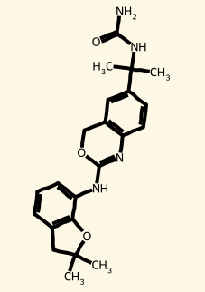 CC1(C)Cc2cccc(NC3=Nc4ccc(C(C)(C)NC(N)=O)cc4CO3)c2O1